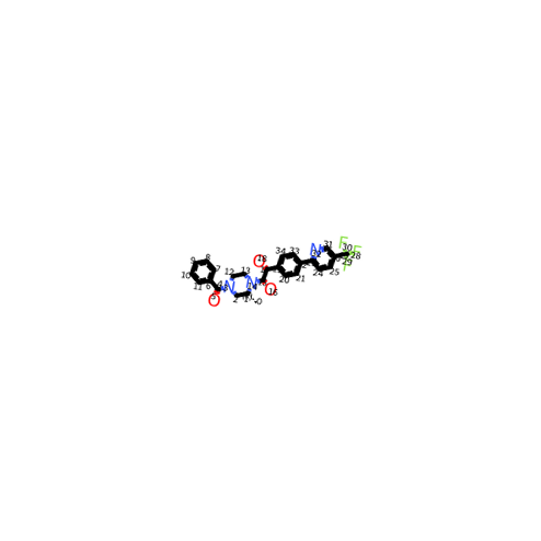 C[C@@H]1CN(C(=O)c2ccccc2)CCN1C(=O)C(=O)c1ccc(-c2ccc(C(F)(F)F)cn2)cc1